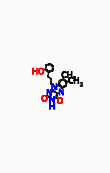 Cc1cc2nc3c(=O)[nH]c(=O)nc-3n(CCCc3ccccc3O)c2cc1C